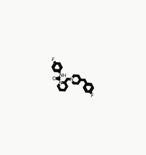 O=C(Nc1ccc(F)cc1)N1CCCCC1CN1CCC(Cc2ccc(F)cc2)CC1